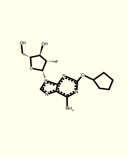 Nc1nc(OC2CCCC2)nc2c1ncn2[C@@H]1O[C@H](CO)[C@@H](O)[C@@H]1F